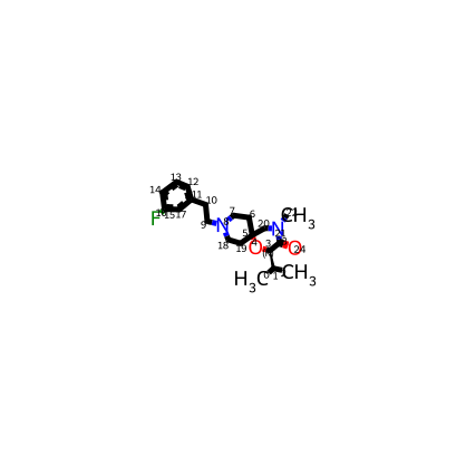 CC(C)[C@H]1OC2(CCN(CCc3cccc(F)c3)CC2)CN(C)C1=O